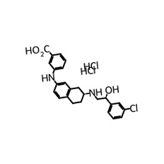 Cl.Cl.O=C(O)c1cccc(Nc2ccc3c(c2)C[C@@H](NC[C@@H](O)c2cccc(Cl)c2)CC3)c1